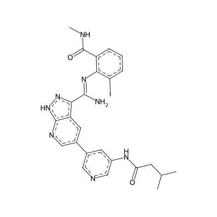 CNC(=O)c1cccc(I)c1/N=C(\N)c1n[nH]c2ncc(-c3cncc(NC(=O)CC(C)C)c3)cc12